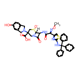 CON=C(C(=O)NC1C(=O)N2CC(C(=O)O)(N3Cc4ccc(O)cc4C3)C[S+]([O-])[C@H]12)c1csc(NC(c2ccccc2)(c2ccccc2)c2ccccc2)n1